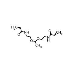 C=CC(=O)NCCOC(C)OCCNC(=O)C=C